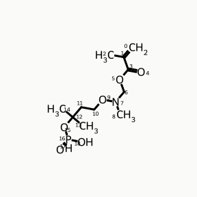 C=C(C)C(=O)OCN(C)OCCC(C)(C)O[PH](=O)O